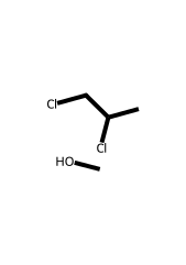 CC(Cl)CCl.CO